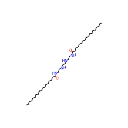 CCCCCC/C=C/C=C/CCCCCCCC(=O)NCCNCCNCCNC(=O)CCCCCCC/C=C/C=C/CCCCCC